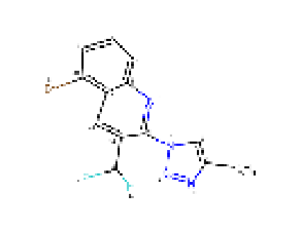 Cc1cn(-c2nc3cccc(Br)c3cc2C(F)F)nn1